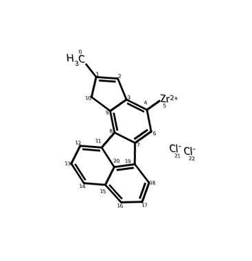 CC1=Cc2[c]([Zr+2])cc3c(c2C1)-c1cccc2cccc-3c12.[Cl-].[Cl-]